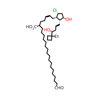 CCC1([C@@H](O)C/C=C/[C@@H]2[C@@H](C/C=C\CCC(CCCCCCCCCCCCCCCCCC=O)C(=O)O)[C@H](Cl)C[C@H]2O)CCC1